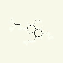 CCCNc1nc(NC)c2nc(NCC(O)CC)nc(NC)c2n1.Cl